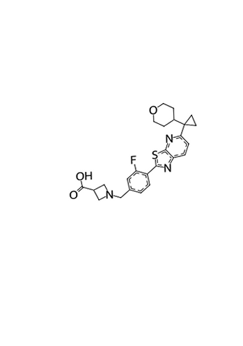 O=C(O)C1CN(Cc2ccc(-c3nc4ccc(C5(C6CCOCC6)CC5)nc4s3)c(F)c2)C1